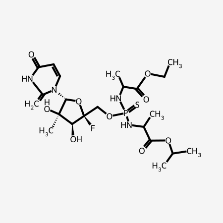 C=C1NC(=O)C=CN1[C@@H]1O[C@](F)(COP(=S)(NC(C)C(=O)OCC)NC(C)C(=O)OC(C)C)[C@@H](O)[C@@]1(C)O